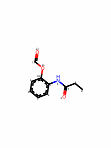 CCC(=O)Nc1ccccc1OC=O